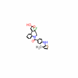 Cc1ccsc1Nc1ccc(C(=O)N2CCC(F)(F)/C(=C\C(=O)O)c3ccccc32)cc1